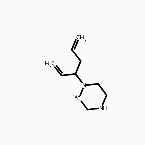 C=CC[C](C=C)N1CCNC[14CH2]1